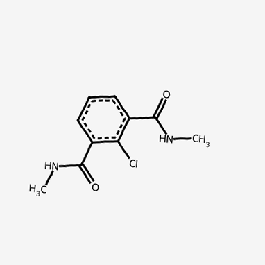 CNC(=O)c1cccc(C(=O)NC)c1Cl